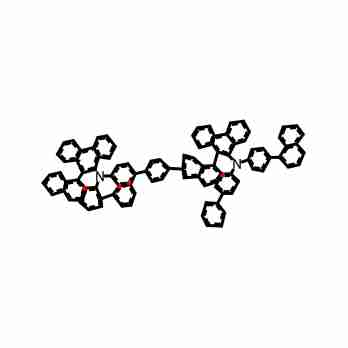 c1ccc(-c2ccc(N(c3ccc(-c4cccc5ccccc45)cc3)c3c(-c4cccc5cc(-c6ccc(-c7ccc(N(c8ccccc8-c8ccccc8)c8c(-c9cccc%10ccccc9%10)c9ccccc9c9ccccc89)cc7)cc6)ccc45)c4ccccc4c4ccccc34)cc2)cc1